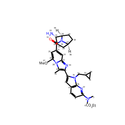 CCOC(=O)N(C)c1ccc2cc(-c3nc4cc(C(=O)N5[C@H]6CC[C@@H]5[C@@H](N)CC6)cc(OC)n4c3C)n(CC3CC3)c2n1